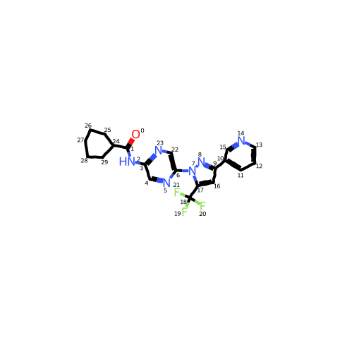 O=C(Nc1cnc(-n2nc(-c3cccnc3)cc2C(F)(F)F)cn1)C1CCCCC1